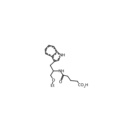 CCOCC(Cc1c[nH]c2ccccc12)NC(=O)CCCC(=O)O